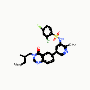 CNCC(C)Cn1cnc2ccc(-c3cnc(OC)c(NS(=O)(=O)c4ccc(F)cc4Cl)c3)cc2c1=O